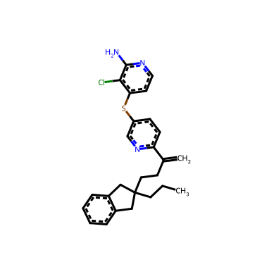 C=C(CCC1(CCC)Cc2ccccc2C1)c1ccc(Sc2ccnc(N)c2Cl)cn1